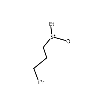 [CH2]C[S+]([O-])CCCC(C)C